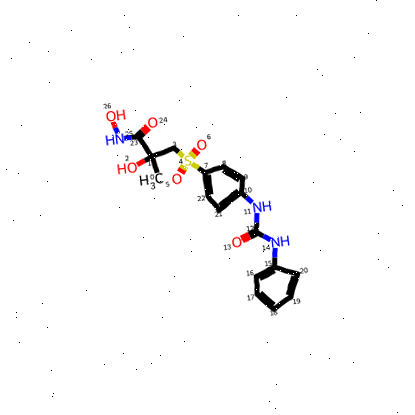 CC(O)(CS(=O)(=O)c1ccc(NC(=O)Nc2ccccc2)cc1)C(=O)NO